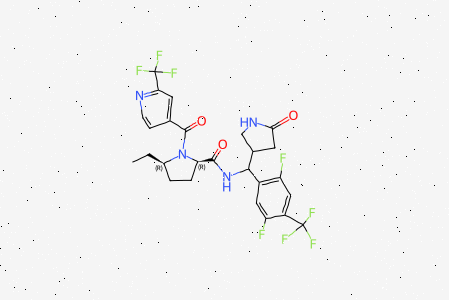 CC[C@@H]1CC[C@H](C(=O)NC(c2cc(F)c(C(F)(F)F)cc2F)C2CNC(=O)C2)N1C(=O)c1ccnc(C(F)(F)F)c1